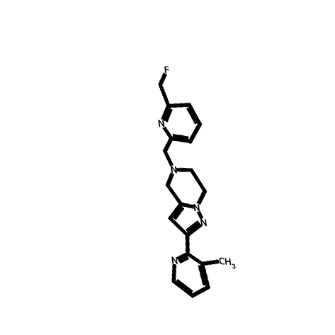 Cc1cccnc1-c1cc2n(n1)CCN(Cc1cccc(CF)n1)C2